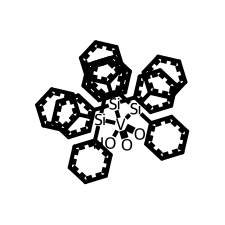 [O]=[V](=[O])([OH])([Si](c1ccccc1)(c1ccccc1)c1ccccc1)([Si](c1ccccc1)(c1ccccc1)c1ccccc1)[Si](c1ccccc1)(c1ccccc1)c1ccccc1